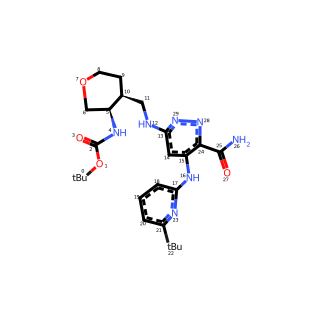 CC(C)(C)OC(=O)N[C@H]1COCC[C@H]1CNc1cc(Nc2cccc(C(C)(C)C)n2)c(C(N)=O)nn1